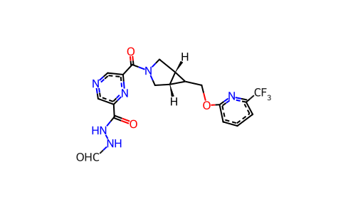 O=CNNC(=O)c1cncc(C(=O)N2C[C@@H]3C(COc4cccc(C(F)(F)F)n4)[C@@H]3C2)n1